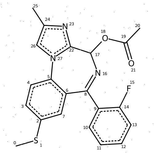 CSc1ccc2c(c1)C(c1ccccc1F)=NC(OC(C)=O)c1nc(C)cn1-2